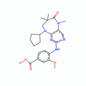 COC(=O)c1ccc(Nc2ncc3c(n2)N(C2CCCC2)CC(C)(C)C(=O)N3C)c(OC)c1